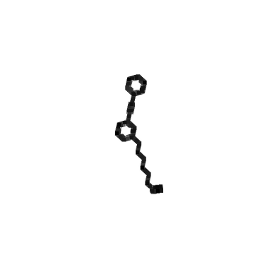 OCCCCCCc1cccc(C#Cc2ccccc2)c1